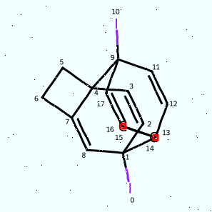 IC12C=CC3(CCC3=C1)C1(I)C=CC23CCC3=C1